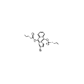 CCCCC(=O)Oc1c2ccccc2c(OC(=O)CCCC)c2cc(Br)ccc12